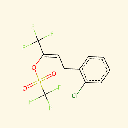 O=S(=O)(OC(=CCc1ccccc1Cl)C(F)(F)F)C(F)(F)F